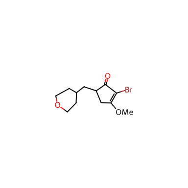 COC1=C(Br)C(=O)C(CC2CCOCC2)C1